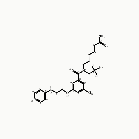 NC(=O)CCCCCN(CC(F)(F)F)C(=O)c1cc(Cl)cc(OCCNc2ccncc2)c1